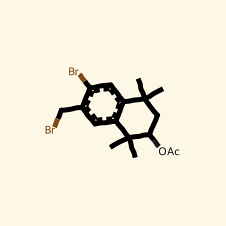 CC(=O)OC1CC(C)(C)c2cc(Br)c(CBr)cc2C1(C)C